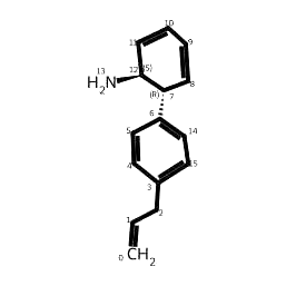 C=CCc1ccc([C@H]2C=CC=C[C@@H]2N)cc1